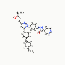 CNC(=O)CCc1cc(-c2ccc(-c3ccc(C)cc3)cc2)n(-c2ccc(NC(=O)c3ccncc3)cc2)n1